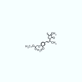 CCOC(=O)COc1ccc(C=CC(C)=C2SC(=S)N(C)C2=O)cc1OC